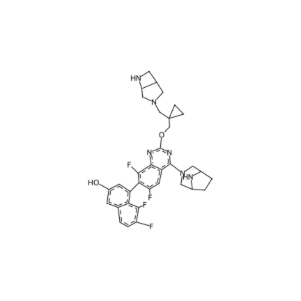 Oc1cc(-c2c(F)cc3c(N4CC5CCC(C4)N5)nc(OCC4(CN5CC6CNC6C5)CC4)nc3c2F)c2c(F)c(F)ccc2c1